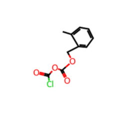 Cc1ccccc1COC(=O)OC(=O)Cl